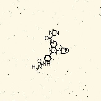 C[C@H]1COCCN1c1nc(-c2ccc(NC(N)=O)cc2)nc2c1CCN(C(=O)c1cnccn1)C2